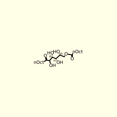 CCCCCCCCC(=O)OC[C@@H](O)[C@H](O)[C@@H](O)C(O)C(=O)CCCCCCCC